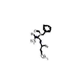 B/C(Br)=C(\C=C\C(Br)CCC)N(C=O)Cc1ccccc1